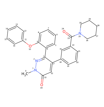 Cn1nc(-c2ccccc2Oc2ccccc2)c(-c2cccc(C(=O)N3CCCCC3)c2)cc1=O